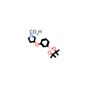 CC1(C)OB(c2cccc(OC3CCN(C(=O)O)C3)c2)OC1(C)C